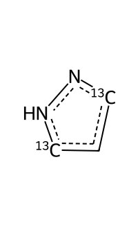 c1[13cH]n[nH][13cH]1